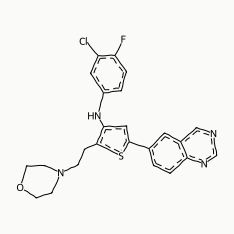 Fc1ccc(Nc2cc(-c3ccc4ncncc4c3)sc2CCN2CCOCC2)cc1Cl